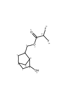 O=C(OCC1CC2CC(O)C1C2)C(F)F